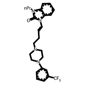 CCCn1c(=O)n(C=CCCN2CCN(c3cccc(C(F)(F)F)c3)CC2)c2ccccc21